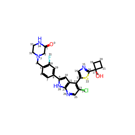 O=C1CN(Cc2ccc(-c3cc4c(-c5cnc(C6(O)CCC6)s5)c(Cl)cnc4[nH]3)cc2F)CCN1